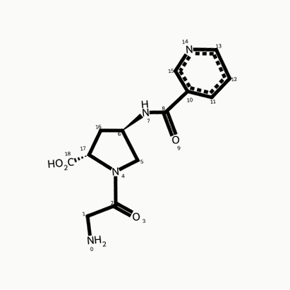 NCC(=O)N1C[C@H](NC(=O)c2cccnc2)C[C@H]1C(=O)O